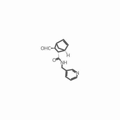 O=C[C@H]1C2C=C[C@H](C2)[C@@H]1C(=O)NCc1cccnc1